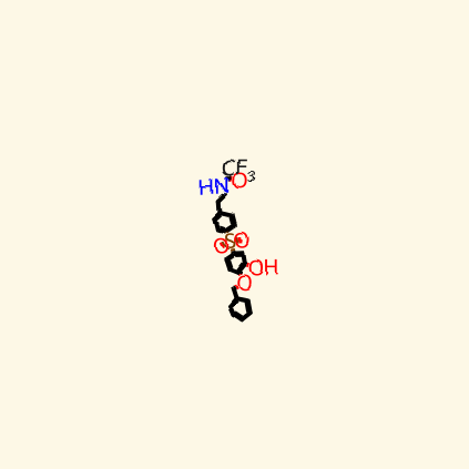 O=C(NCCc1ccc(S(=O)(=O)c2ccc(OCc3ccccc3)c(O)c2)cc1)C(F)(F)F